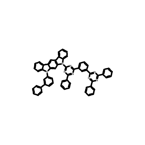 c1ccc(-c2cccc(-n3c4ccccc4c4cc5c6ccccc6n(-c6nc(-c7ccccc7)nc(-c7cccc(-c8nc(-c9ccccc9)nc(-c9ccccc9)n8)c7)n6)c5cc43)c2)cc1